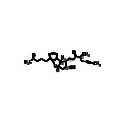 CC#CC[C@H](C)C(=O)/C=C/[C@@H]1[C@H]2c3cccc(CCCC(C)=O)c3O[C@H]2C[C@H]1O